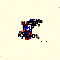 C=CC(=O)N1CCO[C@H]2CN(C(=O)N(C)[C@H](C(=O)N[C@H]3Cc4nc(cs4)-c4ccc5c(c4)c(c(-c4cccnc4[C@H](C)OC)n5CC)CC(C)(C)COC(=O)[C@@H]4CCCN(N4)C3=O)C(C)C)C[C@H]21